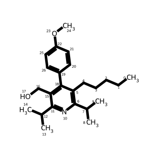 CCCCCc1c(C(C)C)nc(C(C)C)c(CO)c1-c1ccc(OC)cc1